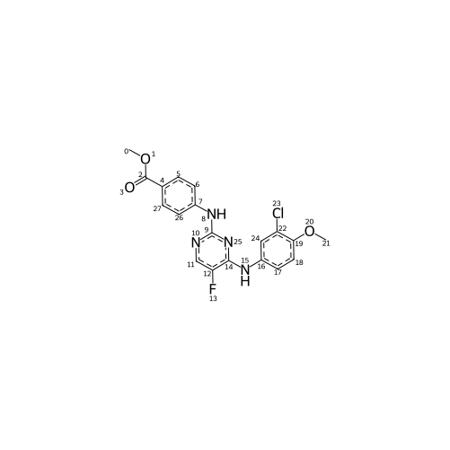 COC(=O)c1ccc(Nc2ncc(F)c(Nc3ccc(OC)c(Cl)c3)n2)cc1